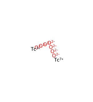 [O-2].[O-2].[O-2].[O-2].[O-2].[O-2].[O-2].[Tc+7].[Tc+7]